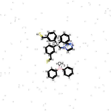 CB(c1ccccc1)c1ccccc1.S=Cc1cccc([Si](Cn2ccnc2)(c2ccccc2)c2cccc(C=S)c2)c1